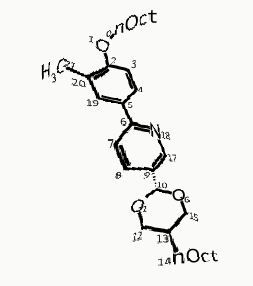 CCCCCCCCOc1ccc(-c2ccc([C@H]3OC[C@H](CCCCCCCC)CO3)cn2)cc1C